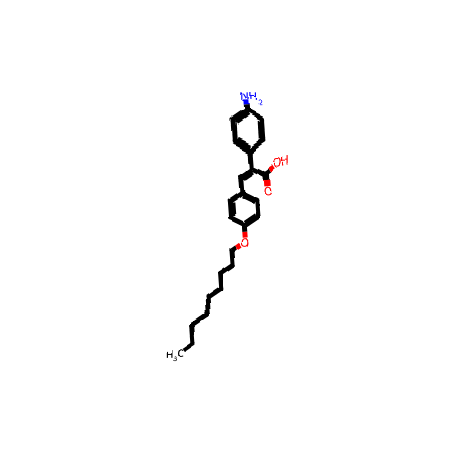 CCCCCCCCCOc1ccc(C=C(C(=O)O)c2ccc(N)cc2)cc1